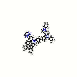 c1ccc(-n2ccc3c4c5cc(-c6ccc(N(c7ccc(-c8ncccn8)cc7)c7ccc8c(c7)C(c7ccccc7)(c7ccccc7)c7ccccc7-8)cc6)ccc5n(-c5ccccc5)c4ccc32)cc1